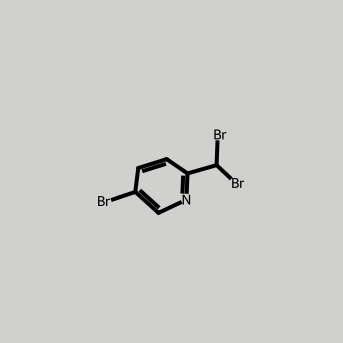 Brc1ccc(C(Br)Br)nc1